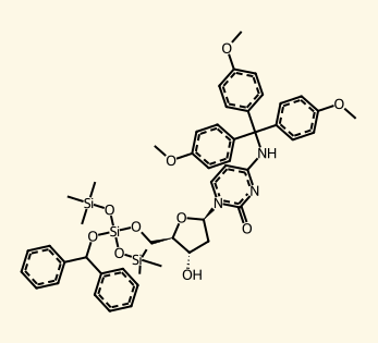 COc1ccc(C(Nc2ccn([C@H]3C[C@H](O)[C@@H](CO[Si](OC(c4ccccc4)c4ccccc4)(O[Si](C)(C)C)O[Si](C)(C)C)O3)c(=O)n2)(c2ccc(OC)cc2)c2ccc(OC)cc2)cc1